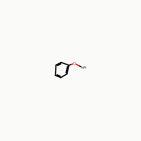 CCCOc1c[c][c]cc1